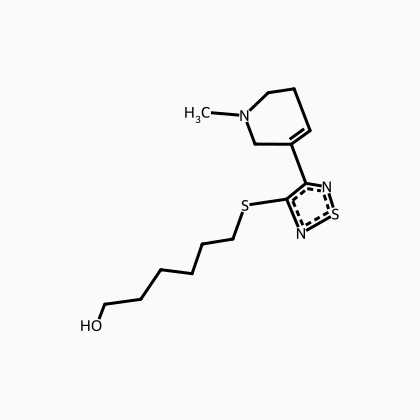 CN1CCC=C(c2nsnc2SCCCCCCO)C1